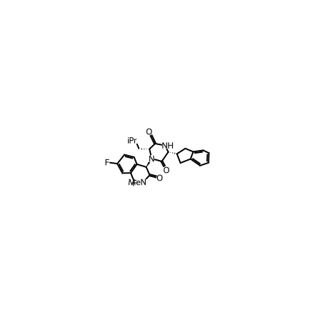 CNC(=O)[C@@H](c1ccc(F)cc1F)N1C(=O)[C@@H](C2Cc3ccccc3C2)NC(=O)[C@H]1CC(C)C